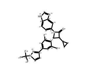 O=C1C(C2CC2)[C@H](c2c(F)cc(-c3ccn(C(F)(F)F)n3)cc2F)N1c1ccc2[nH]cnc2c1